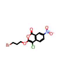 O=c1oc(OCCCBr)c(Cl)c2ccc([N+](=O)[O-])cc12